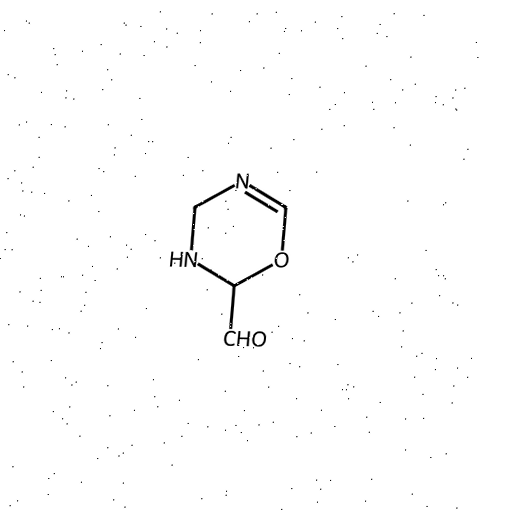 O=CC1NCN=CO1